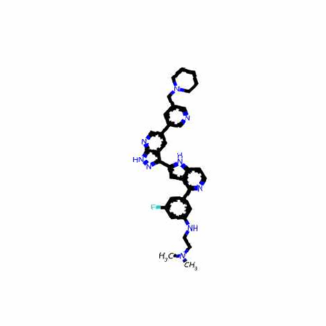 CN(C)CCNc1cc(F)cc(-c2nccc3[nH]c(-c4n[nH]c5ncc(-c6cncc(CN7CCCCC7)c6)cc45)cc23)c1